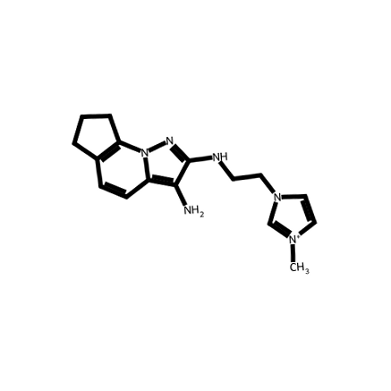 C[n+]1ccn(CCNc2nn3c4c(ccc3c2N)CCC4)c1